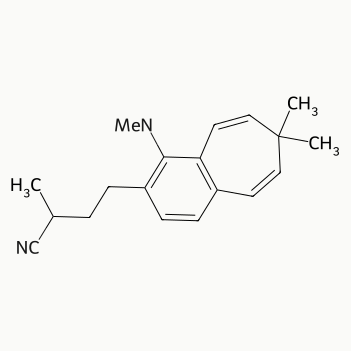 CNc1c(CCC(C)C#N)ccc2c1C=CC(C)(C)C=C2